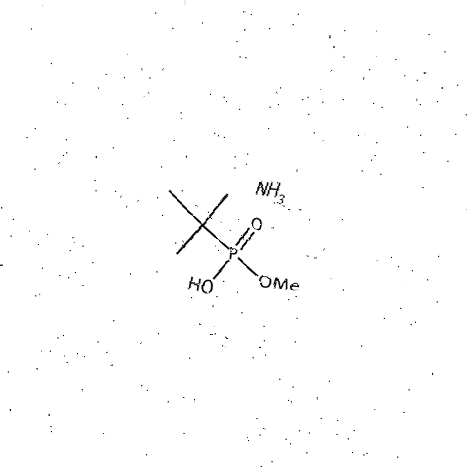 COP(=O)(O)C(C)(C)C.N